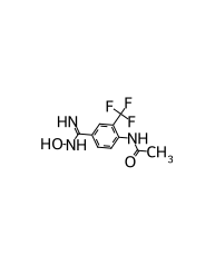 CC(=O)Nc1ccc(C(=N)NO)cc1C(F)(F)F